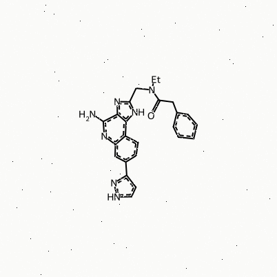 CCN(Cc1nc2c(N)nc3cc(-c4cc[nH]n4)ccc3c2[nH]1)C(=O)Cc1ccccc1